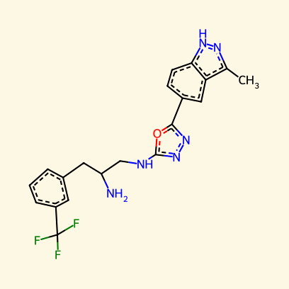 Cc1n[nH]c2ccc(-c3nnc(NCC(N)Cc4cccc(C(F)(F)F)c4)o3)cc12